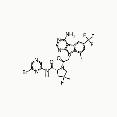 Cc1cc(C(F)(F)F)cc2c3c(N)ncnc3n(CC(=O)N3C[C@](C)(F)C[C@@H]3C(=O)Nc3cncc(Br)n3)c12